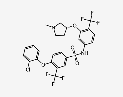 CN1CC[C@@H](Oc2cc(NS(=O)(=O)c3ccc(Oc4ccccc4Cl)c(C(F)(F)F)c3)ccc2C(F)(F)F)C1